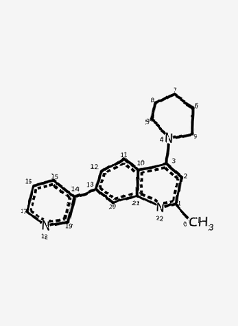 Cc1cc(N2CCCCC2)c2ccc(-c3cccnc3)cc2n1